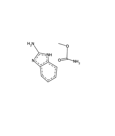 COC(N)=O.Nc1nc2ccccc2[nH]1